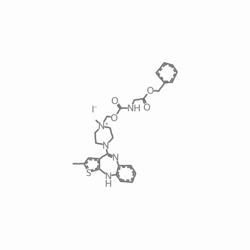 Cc1cc2c(s1)Nc1ccccc1N=C2N1CC[N+](C)(COC(=O)NCC(=O)OCc2ccccc2)CC1.[I-]